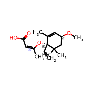 C=C[C@@]1(O/C(C)=C\C(=O)O)C(C)=C[C@@H](OC)CC1(C)C